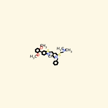 COc1cccc(OC)c1-c1ccc2c(c1)sc(C=C1C=CN(Cc3ccccc3)C(SCCN(C)C)=C1)[n+]2C